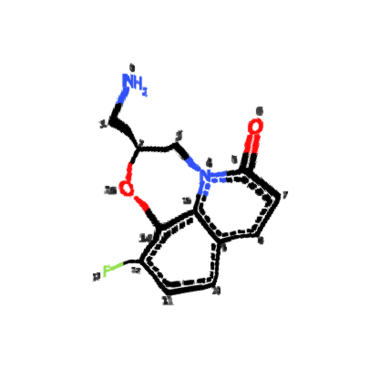 NC[C@H]1Cn2c(=O)ccc3ccc(F)c(c32)O1